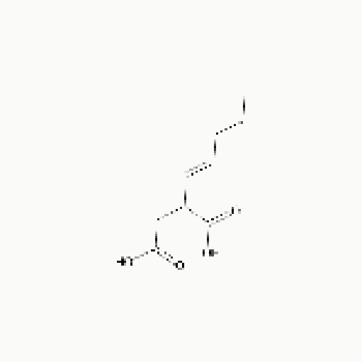 CCC/C=C/C(CC(=O)O)C(=O)O